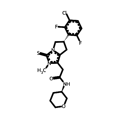 Cn1c(CC(=O)N[C@@H]2CCCOC2)c2n(c1=S)C[C@H](c1c(F)ccc(Cl)c1F)C2